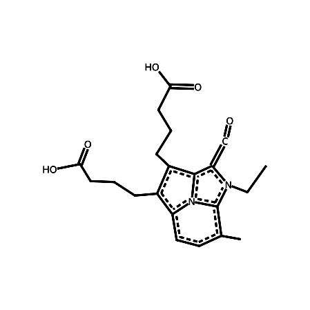 CCn1c(=C=O)c2c(CCCC(=O)O)c(CCCC(=O)O)c3ccc(C)c1n32